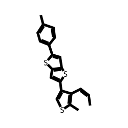 C/C=C\c1c(-c2cc3sc(-c4ccc(C)cc4)cc3s2)csc1C